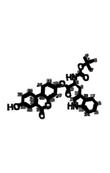 CC(C)(C)OC(=O)N[C@@H](Cc1c[nH]c2ccccc12)C(=O)Oc1ccc2c(c1)oc(=O)c1cc(O)ccc12